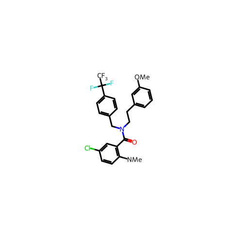 CNc1ccc(Cl)cc1C(=O)N(CCc1cccc(OC)c1)Cc1ccc(C(F)(F)C(F)(F)F)cc1